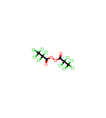 O=C(OOC(=O)C(Cl)(Cl)C(Cl)(Cl)Cl)C(Cl)(Cl)C(Cl)(Cl)Cl